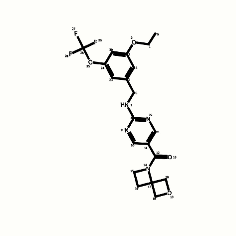 CCOc1cc(CNc2ncc(C(=O)N3CCC34COC4)cn2)cc(OC(F)(F)F)c1